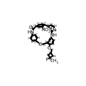 CC1(F)CC(COc2ccc3cc2COc2ccc(cc2)NC(=O)c2ccc(c([N+](=O)[O-])c2)-c2ccnc(n2)N3)C1